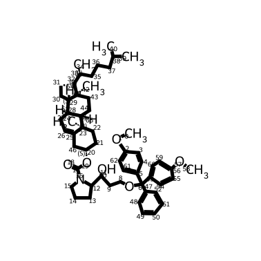 COc1ccc(C(OCCC(O)C2CCCN2C(=O)O[C@H]2CC[C@@]3(C)C(=CC[C@H]4[C@@H]5CC[C@H]([C@H](C)CCCC(C)C)[C@@]5(C)CC[C@@H]43)C2)(c2ccccc2)c2ccc(OC)cc2)cc1